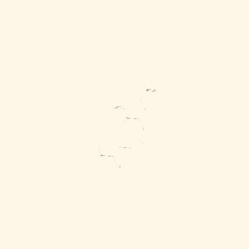 NC(CCP(=O)(O)CC(CCC(=O)O)C(=O)N=O)C(=O)O